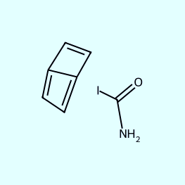 NC(=O)I.c1cc2ccc1-2